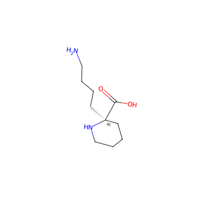 NCCCC[C@]1(C(=O)O)CCCCN1